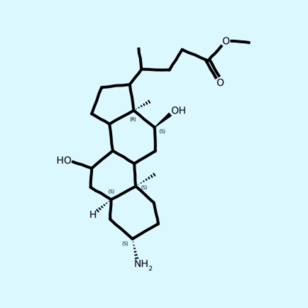 COC(=O)CCC(C)C1CCC2C3C(O)C[C@@H]4C[C@@H](N)CC[C@]4(C)C3C[C@H](O)[C@]12C